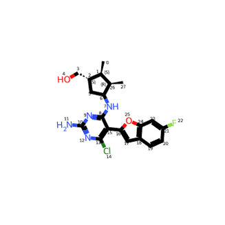 C[C@@H]1[C@@H](CO)CC(Nc2nc(N)nc(Cl)c2-c2cc3ccc(F)cc3o2)[C@@H]1C